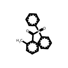 Cc1ccccc1C(=O)P(=O)(c1ccccc1)c1ccccc1